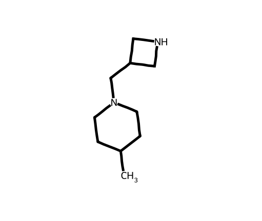 CC1CCN(CC2CNC2)CC1